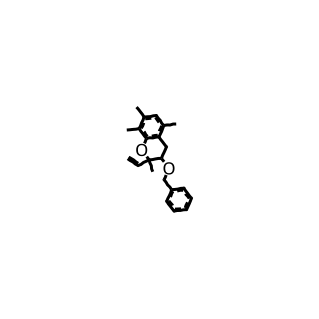 C=CC1(C)Oc2c(C)c(C)cc(C)c2CC1OCc1ccccc1